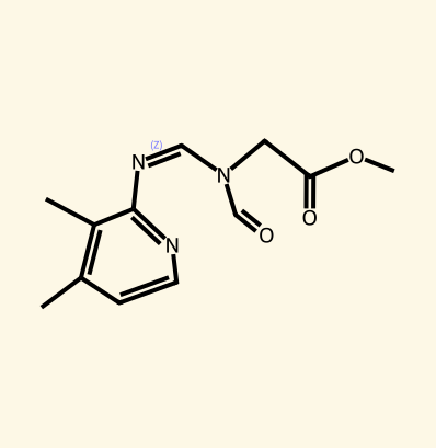 COC(=O)CN(C=O)/C=N\c1nccc(C)c1C